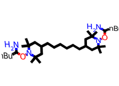 CCCCC(N)ON1C(C)(C)CC(CCCCCCC2CC(C)(C)N(OC(N)CCCC)C(C)(C)C2)CC1(C)C